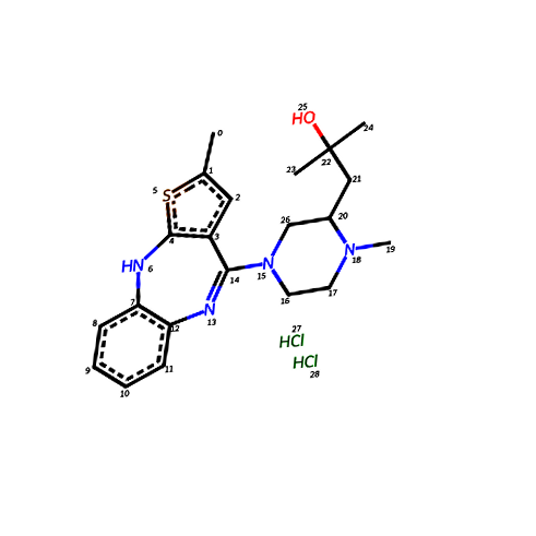 Cc1cc2c(s1)Nc1ccccc1N=C2N1CCN(C)C(CC(C)(C)O)C1.Cl.Cl